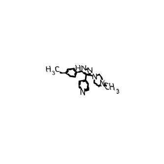 CCc1ccc(-c2[nH]nc(N3CCN(C)CC3)c2-c2ccncc2)cc1